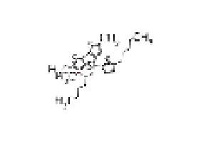 CCCCCc1ccc([Si]2(CC(CC)CCCC)c3cc(C)sc3-c3sc(C)cc32)s1